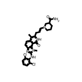 Cc1c(CC=CN2CCCC(C(N)=O)C2)[nH]c(=O)c2c1ccc1nc(Nc3c(Cl)cccc3Cl)n(C)c12